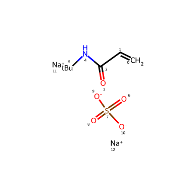 C=CC(=O)NC(C)(C)C.O=S(=O)([O-])[O-].[Na+].[Na+]